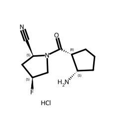 Cl.N#C[C@@H]1C[C@H](F)CN1C(=O)[C@@H]1CCC[C@@H]1N